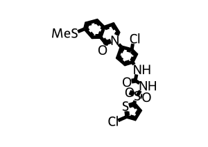 CSc1ccc2ccn(-c3ccc(NC(=O)NS(=O)(=O)c4ccc(Cl)s4)cc3Cl)c(=O)c2c1